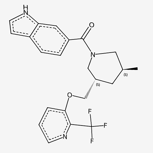 C[C@H]1C[C@H](COc2cccnc2C(F)(F)F)CN(C(=O)c2ccc3cc[nH]c3c2)C1